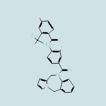 O=C(Nc1ccc(C(=O)N2Cc3cccn3Cc3ccccc32)cc1Cl)c1ccc(F)cc1C(F)(F)F